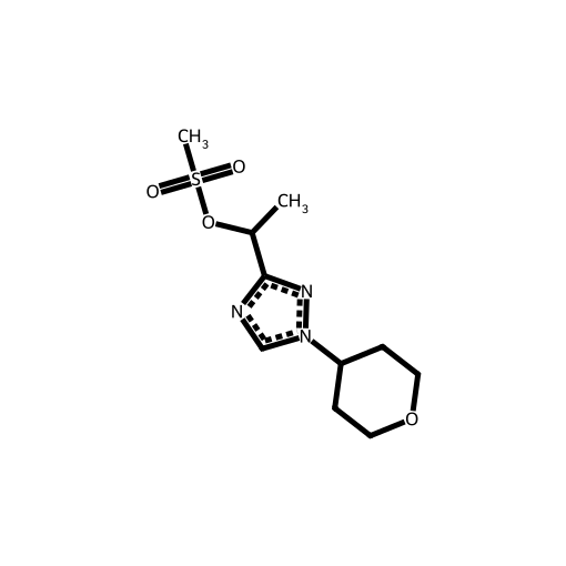 CC(OS(C)(=O)=O)c1ncn(C2CCOCC2)n1